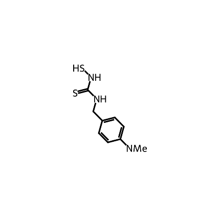 CNc1ccc(CNC(=S)NS)cc1